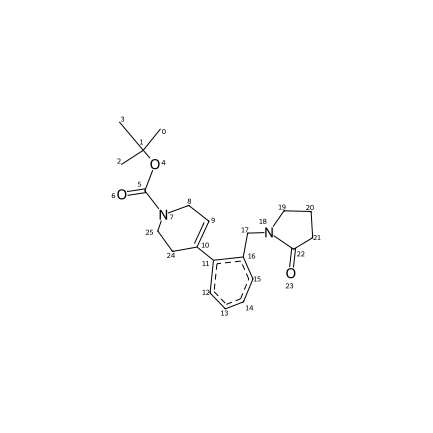 CC(C)(C)OC(=O)N1CC=C(c2ccccc2CN2CCCC2=O)CC1